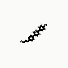 O=CCCc1ccc(-c2ccc(-c3ccc(Br)cc3)nc2)cc1